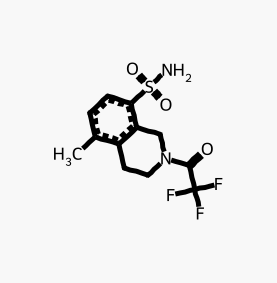 Cc1ccc(S(N)(=O)=O)c2c1CCN(C(=O)C(F)(F)F)C2